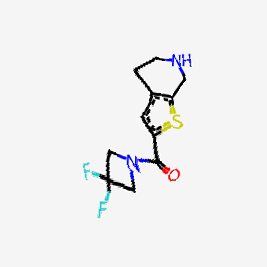 O=C(c1cc2c(s1)CNCC2)N1CC(F)(F)C1